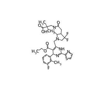 CCOC(=O)C1=C(CN2CC(F)(F)C3CC(=O)N(CC(C)(C)C(=O)O)CC32)NC(c2nccs2)=NC1c1cccc(F)c1C